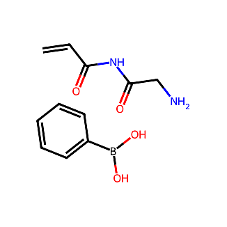 C=CC(=O)NC(=O)CN.OB(O)c1ccccc1